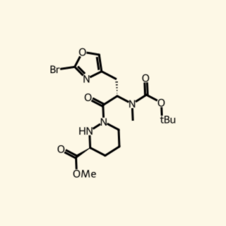 COC(=O)[C@@H]1CCCN(C(=O)[C@H](Cc2coc(Br)n2)N(C)C(=O)OC(C)(C)C)N1